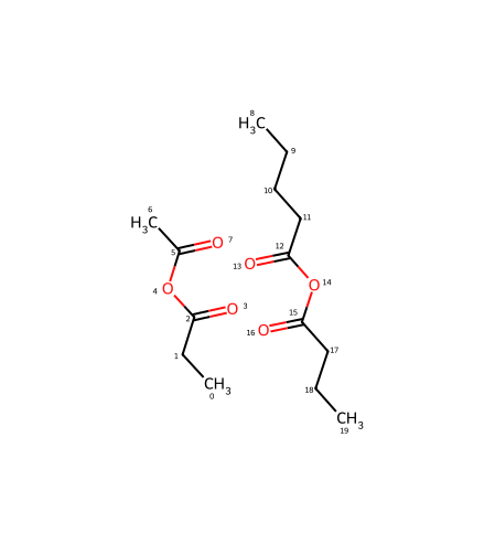 CCC(=O)OC(C)=O.CCCCC(=O)OC(=O)CCC